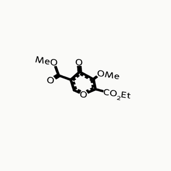 CCOC(=O)c1occ(C(=O)OC)c(=O)c1OC